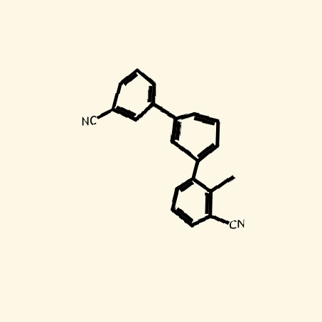 Cc1c(C#N)cccc1-c1cccc(-c2cccc(C#N)c2)c1